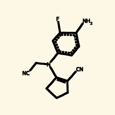 N#CCN(C1=C(C#N)CCC1)c1ccc(N)c(F)c1